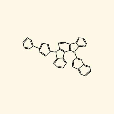 c1ccc(-c2ccc(-n3c4ccccc4c4c3ccc3c5ccccc5n(-c5ccc6ccccc6c5)c34)cc2)cc1